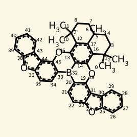 CC1(C)CCC2(C)CCC(C)(C)c3c4c5c(c1c32)Oc1c(ccc2oc3ccccc3c12)B5c1ccc2oc3ccccc3c2c1O4